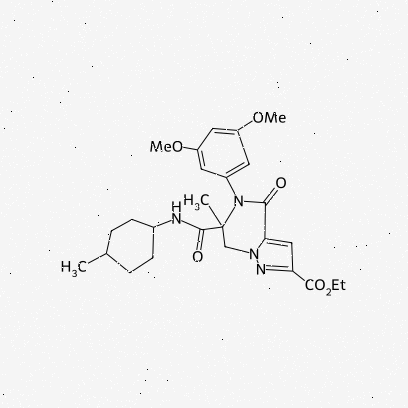 CCOC(=O)c1cc2n(n1)CC(C)(C(=O)NC1CCC(C)CC1)N(c1cc(OC)cc(OC)c1)C2=O